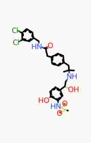 CC(C)(Cc1ccc(CC(=O)NCc2ccc(Cl)c(Cl)c2)cc1)NC[C@H](O)c1ccc(O)c(NS(C)(=O)=O)c1